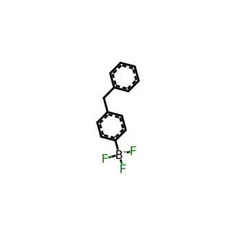 F[B-](F)(F)c1ccc(Cc2ccccc2)cc1